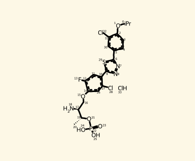 CC(C)Oc1ccc(-c2nnc(-c3cc(F)c(OC[C@H](N)[C@@H](C)OP(=O)(O)O)cc3Cl)s2)cc1Cl.Cl